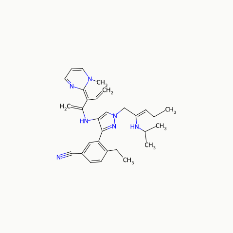 C=C/C(C(=C)Nc1cn(CC(=CCC)NC(C)C)nc1-c1cc(C#N)ccc1CC)=C1/N=CC=CN1C